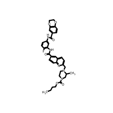 CCCCOC(=O)N1CCN(Cc2ccc3cc(C(=O)Nc4cc(NC(=O)c5ccc6c(c5)OCCO6)ccc4F)ccc3n2)C(C)C1